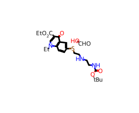 CCOC(=O)c1cn(CC)c2ccc(SCCNCCNC(=O)OC(C)(C)C)cc2c1=O.O=CO